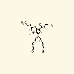 [C-]#[N+]c1c(N(COC=C=C=O)COC=C=C=O)sc(C(=O)OCC)c1CC(=O)OCC